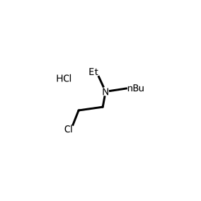 CCCCN(CC)CCCl.Cl